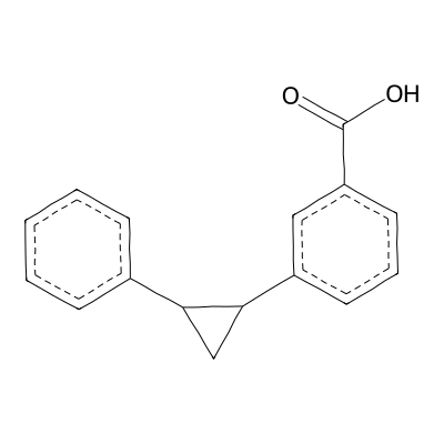 O=C(O)c1cccc(C2CC2c2ccccc2)c1